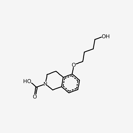 O=C(O)N1CCc2c(cccc2OCCCCO)C1